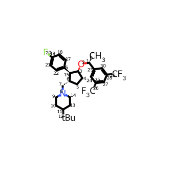 C[C@@H](O[C@H]1CC[C@H](CN2CCC(C(C)(C)C)CC2)[C@H]1c1ccc(F)cc1)c1cc(C(F)(F)F)cc(C(F)(F)F)c1